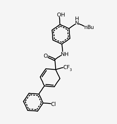 CCCCNc1cc(NC(=O)C2(C(F)(F)F)C=CC(c3ccccc3Cl)=CC2)ccc1O